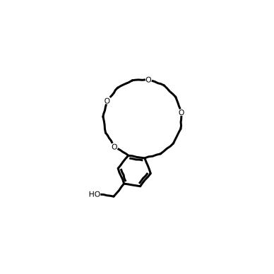 OCc1ccc2c(c1)OCCOCCOCCOCCC2